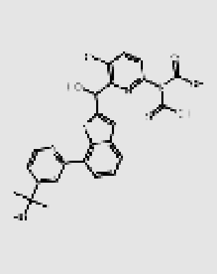 CC(C)(O)c1ccnc(-c2cccc3cc(C(O)c4nc(N(C(=O)O)C(=O)O)ccc4Cl)sc23)c1